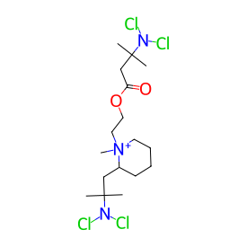 CC(C)(CC(=O)OCC[N+]1(C)CCCCC1CC(C)(C)N(Cl)Cl)N(Cl)Cl